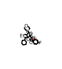 CCC(C1CCCCC1)C(OC(N)=O)(C(=O)c1nc2cc(F)ccc2o1)C(C)C(=O)N1CCOCC1